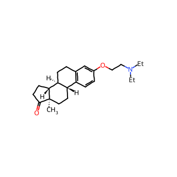 CCN(CC)CCOc1ccc2c(c1)CC[C@@H]1[C@H]3CCC(=O)[C@]3(C)CC[C@@H]21